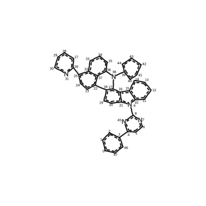 c1ccc(-c2ccnc(-n3c4ccccc4c4c5c(ccc43)-c3ccc(-c4ccccn4)c4cccc(c34)N5c3ccccc3)n2)cc1